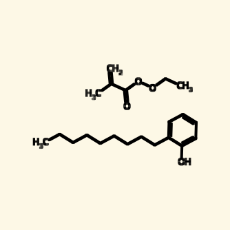 C=C(C)C(=O)OOCC.CCCCCCCCCc1ccccc1O